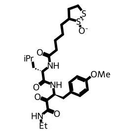 CCNC(=O)C(=O)[C@H](Cc1ccc(OC)cc1)NC(=O)[C@H](CC(C)C)NC(=O)CCCCC1CCS[S+]1[O-]